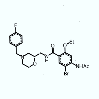 CCOc1cc(NC(C)=O)c(Br)cc1C(=O)NCC1CN(Cc2ccc(F)cc2)CCO1